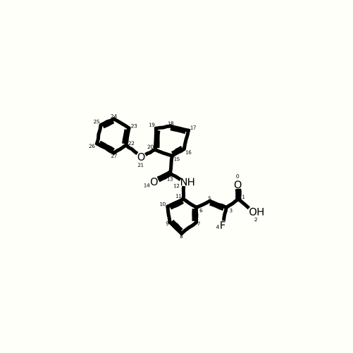 O=C(O)C(F)=Cc1ccccc1NC(=O)c1ccccc1Oc1ccccc1